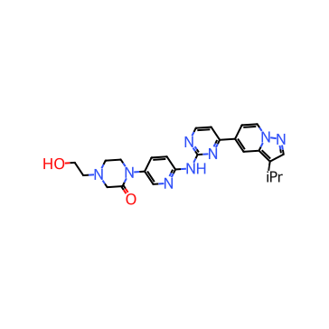 CC(C)c1cnn2ccc(-c3ccnc(Nc4ccc(N5CCN(CCO)CC5=O)cn4)n3)cc12